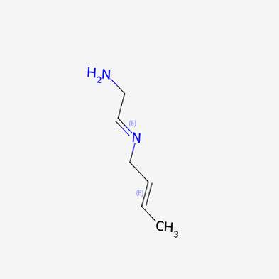 C/C=C/C/N=C/CN